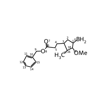 BC1CC(CCC(=O)OCc2ccccc2)C(C)C1OC